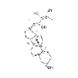 CC(C)[C@H](C)[C@@H](O)[C@H](O)[C@@H](C)[C@H]1CCC2[C@@H]3CC=C4C[C@@H](O)CC[C@]4(C)[C@H]3CC[C@@]21C